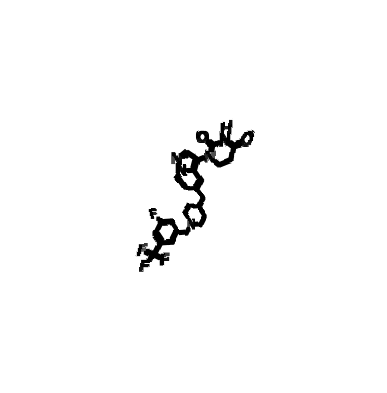 O=C1CCN(c2cnn3ccc(CC4CCN(Cc5cc(F)cc(C(F)(F)F)c5)CC4)cc23)C(=O)N1